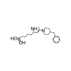 CC(CC(N)CCCCB(O)O)N1CCC(Cc2ccccc2)CC1